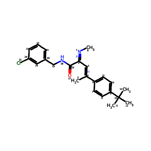 C/N=C(\C=C(/C)c1ccc(C(C)(C)C)cc1)C(=O)NCc1cccc(Cl)c1